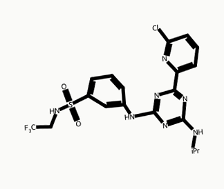 CC(C)Nc1nc(Nc2cccc(S(=O)(=O)NCC(F)(F)F)c2)nc(-c2cccc(Cl)n2)n1